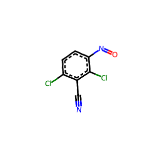 N#Cc1c(Cl)ccc(N=O)c1Cl